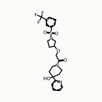 O=C(COC1CCN(S(=O)(=O)c2cccc(C(F)(F)F)c2)C1)N1CCC(O)(c2ccccn2)CC1